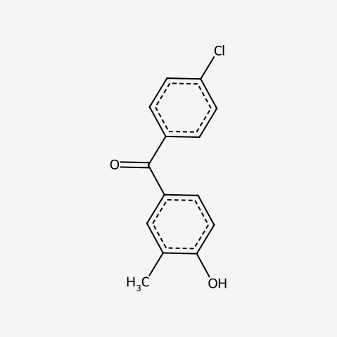 Cc1cc(C(=O)c2ccc(Cl)cc2)ccc1O